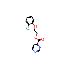 O=C(OCCOc1ccccc1Cl)c1ccncn1